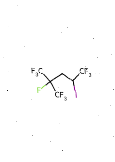 FC(F)(F)C(I)CC(F)(C(F)(F)F)C(F)(F)F